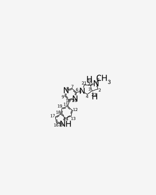 CN1C[C@H]2CN(c3cncc(-c4ccc5[nH]ccc5c4)n3)C[C@H]21